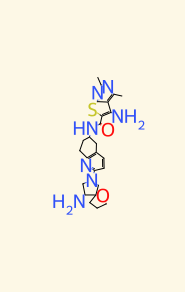 Cc1nc(C)c2c(N)c(C(=O)NC3CCc4nc(N5CC(N)C6(CCCO6)C5)ccc4C3)sc2n1